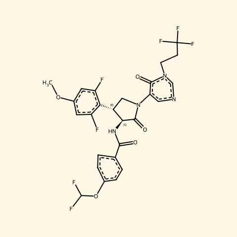 COc1cc(F)c([C@@H]2CN(c3cncn(CCC(F)(F)F)c3=O)C(=O)[C@H]2NC(=O)c2ccc(OC(F)F)cc2)c(F)c1